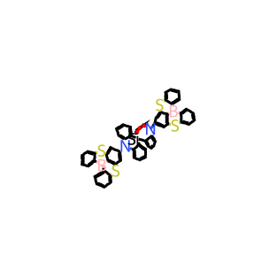 c1ccc2c(c1)Sc1cc(N3c4ccccc4[Si]4(c5ccccc53)c3ccccc3N(c3cc5c6c(c3)Sc3ccccc3B6c3ccccc3S5)c3ccccc34)cc3c1B2c1ccccc1S3